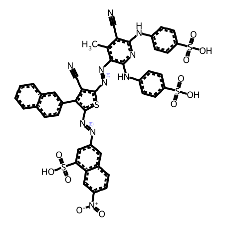 Cc1c(C#N)c(Nc2ccc(S(=O)(=O)O)cc2)nc(Nc2ccc(S(=O)(=O)O)cc2)c1/N=N/c1sc(/N=N/c2cc(S(=O)(=O)O)c3cc([N+](=O)[O-])ccc3c2)c(-c2ccc3ccccc3c2)c1C#N